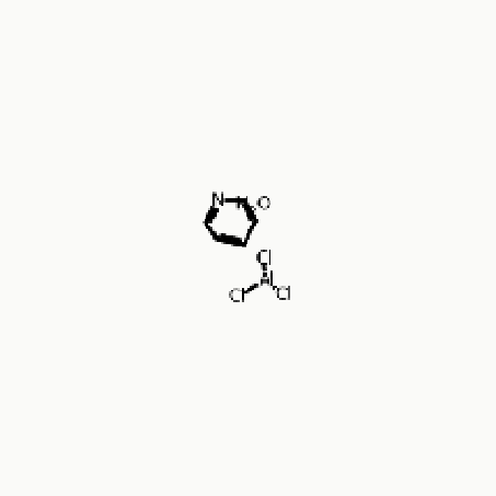 O.[Cl][Al]([Cl])[Cl].c1ccncc1